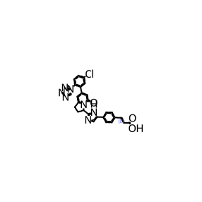 O=C(O)/C=C/c1ccc(-c2cnc(C3CCc4cc(-c5cc(Cl)ccc5-n5cnnn5)cc(=O)n43)[nH]2)cc1